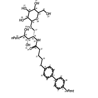 CCCCCc1ccc(-c2ccc(CCCCC(=O)N[C@@H](COC3OC(CO)C(O)C(O)C3O)[C@H](O)[C@H](O)CCCCC)cc2)cc1